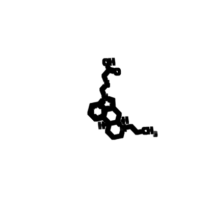 CCCN1CCC[C@@H]2c3cccc4c3c(cn4CSCC(=O)O)C[C@H]21